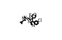 FC1(F)COCCC1n1c(Cn2cc(C3CC3)nn2)nc2cnc3ccc(Cl)cc3c21